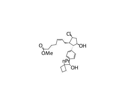 CCCC1(C(O)c2ccc([C@@H]3[C@@H](C/C=C\CCCC(=O)OC)[C@@H](Cl)C[C@H]3O)cc2)CCC1